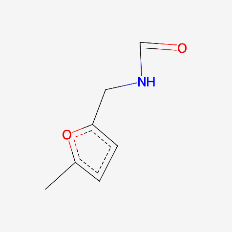 Cc1ccc(CNC=O)o1